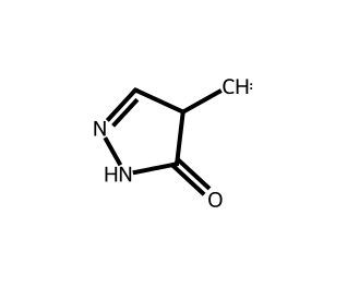 [CH]C1C=NNC1=O